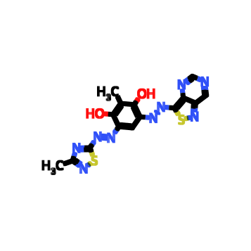 Cc1nsc(/N=N/c2cc(/N=N/c3snc4cncnc34)c(O)c(C)c2O)n1